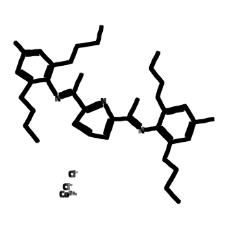 CCCCc1cc(C)cc(CCCC)c1N=C(C)c1cccc(C(C)=Nc2c(CCCC)cc(C)cc2CCCC)n1.[Cl-].[Cl-].[Co+2]